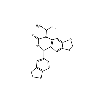 CC(C)N1C(=O)NC(c2ccc3c(c2)CCO3)c2cc3c(cc21)OCO3